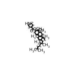 CC(C)=CCC[C@@H](C)[C@H]1CC[C@@]2(C)C3=C(CC[C@]12C)[C@@]1(C)CC[C@H](OC(=O)C2CCNCC2)C(C)(C)C1CC3